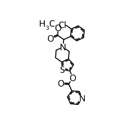 COC(=O)C(c1ccccc1Cl)N1CCc2sc(OC(=O)c3cccnc3)cc2C1